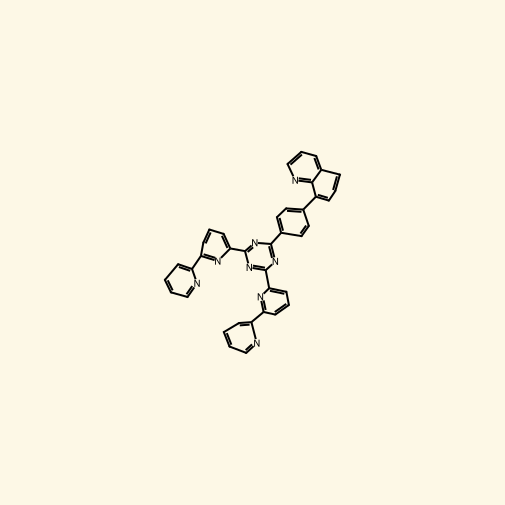 c1ccc(-c2cccc(-c3nc(-c4ccc(-c5cccc6cccnc56)cc4)nc(-c4cccc(-c5ccccn5)n4)n3)n2)nc1